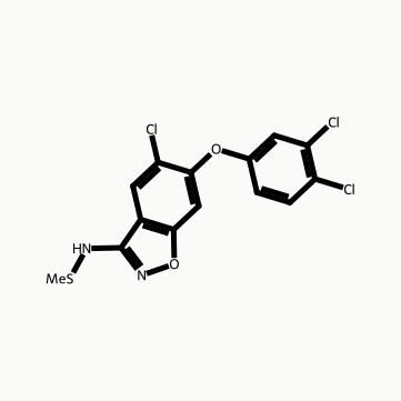 CSNc1noc2cc(Oc3ccc(Cl)c(Cl)c3)c(Cl)cc12